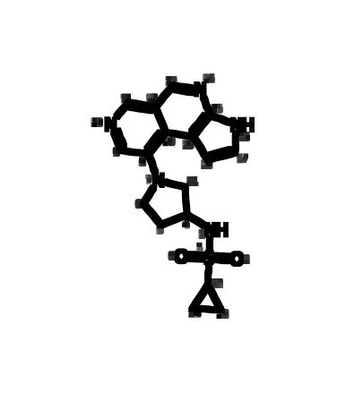 O=S(=O)(NC1CCN(c2cncc3cnc4[nH]ccc4c23)C1)C1CC1